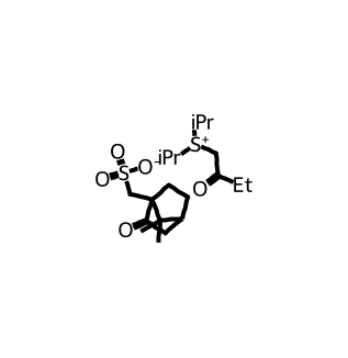 CC1(C)C2CCC1(CS(=O)(=O)[O-])C(=O)C2.CCC(=O)C[S+](C(C)C)C(C)C